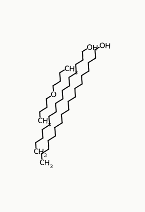 CCCCCCCCCCCCCCCCCCO.CCCCCCCCCCCCCCCCO.CCCCOCCCC